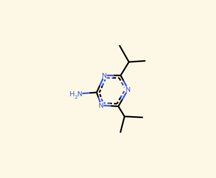 CC(C)c1nc(N)nc(C(C)C)n1